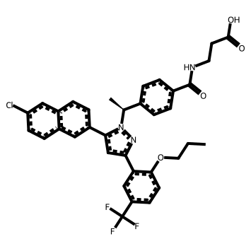 CCCOc1ccc(C(F)(F)F)cc1-c1cc(-c2ccc3cc(Cl)ccc3c2)n([C@@H](C)c2ccc(C(=O)NCCC(=O)O)cc2)n1